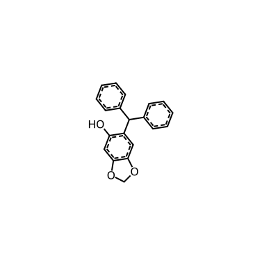 Oc1cc2c(cc1C(c1ccccc1)c1ccccc1)OCO2